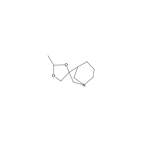 CC1OCC2(CN3CCCC2C3)O1